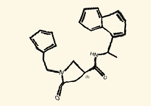 CC(NC(=O)[C@H]1CC(=O)N(Cc2ccccc2)C1)c1cccc2ccccc12